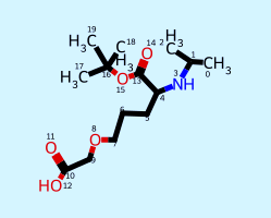 CC(C)NC(CCCOCC(=O)O)C(=O)OC(C)(C)C